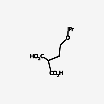 CC(C)OCCC(C(=O)O)C(=O)O